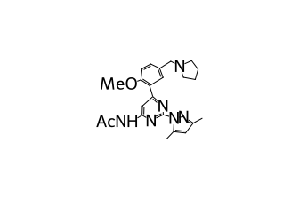 COc1ccc(CN2CCCC2)cc1-c1cc(NC(C)=O)nc(-n2nc(C)cc2C)n1